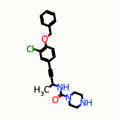 CC(C#Cc1ccc(OCc2ccccc2)c(Cl)c1)NC(=O)N1CCNCC1